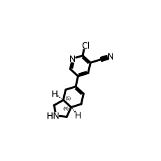 N#Cc1cc(C2=CC[C@H]3CNC[C@H]3C2)cnc1Cl